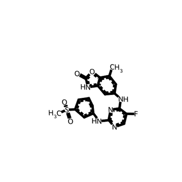 Cc1cc(Nc2nc(Nc3cccc(S(C)(=O)=O)c3)ncc2F)cc2[nH]c(=O)oc12